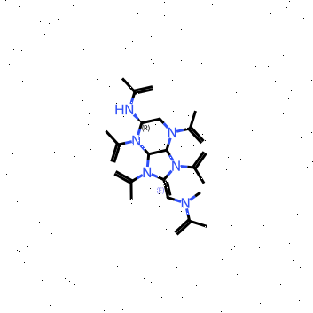 C=C(C)N[C@H]1CN(C(=C)C)C2C(N(C(=C)C)/C(=C/N(C)C(=C)C)N2C(=C)C)N1C(=C)C